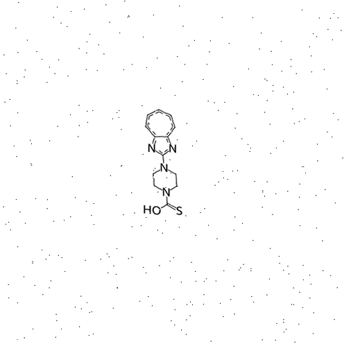 OC(=S)N1CCN(c2nc3cccccc-3n2)CC1